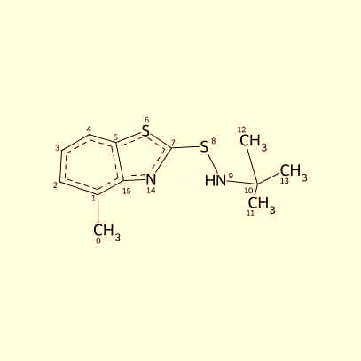 Cc1cccc2sc(SNC(C)(C)C)nc12